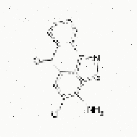 Nc1c(Cl)cc2c3c(nsc13)-c1ccccc1C2=O